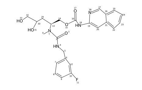 CN(C(=O)NCc1cccc(F)c1)[C@H](COC(=O)Nc1cc2ccccc2cn1)CC(O)CO